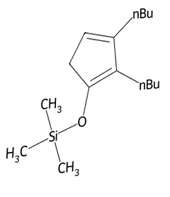 CCCCC1=CCC(O[Si](C)(C)C)=C1CCCC